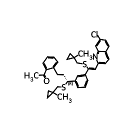 CC(=O)c1ccccc1CC[C@@H](SCC1(C)CC1)c1cccc(C(=Cc2ccc3ccc(Cl)cc3n2)SCC2(C)CC2)c1